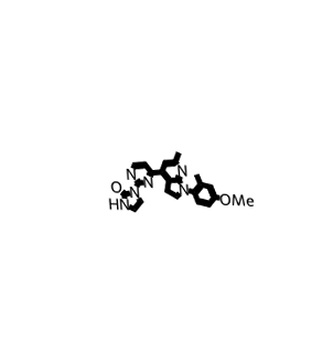 COc1ccc(N2CCc3c(-c4ccnc(N5CCNC5=O)n4)cc(C)nc32)c(C)c1